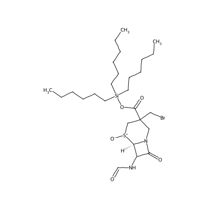 CCCCCC[Si](CCCCCC)(CCCCCC)OC(=O)C1(CBr)CN2C(=O)C(NC=O)[C@H]2[S+]([O-])C1